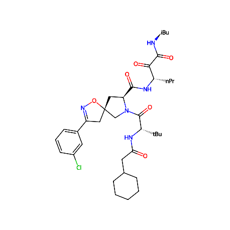 CCC[C@H](NC(=O)[C@@H]1C[C@]2(CC(c3cccc(Cl)c3)=NO2)CN1C(=O)[C@@H](NC(=O)CC1CCCCC1)C(C)(C)C)C(=O)C(=O)N[C@H](C)CC